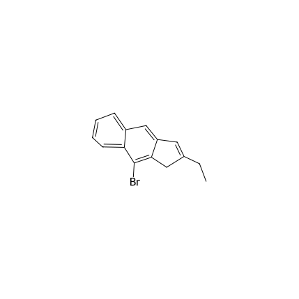 CCC1=Cc2cc3ccccc3c(Br)c2C1